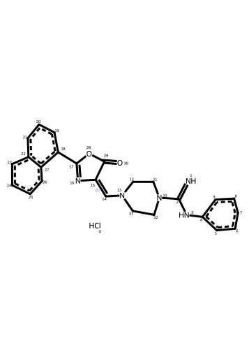 Cl.N=C(Nc1ccccc1)N1CCN(/C=C2/N=C(c3cccc4ccccc34)OC2=O)CC1